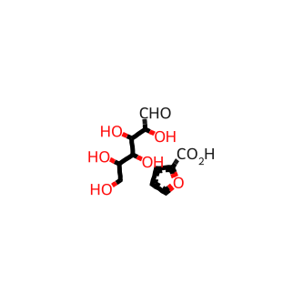 O=C(O)c1ccco1.O=CC(O)C(O)C(O)C(O)CO